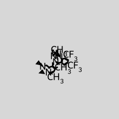 Cc1cc(C)c(CN(Cc2cc(C(F)(F)F)cc(C(F)(F)F)c2)c2nnn(C)n2)c(CN(C2CC2)C2CC2)n1